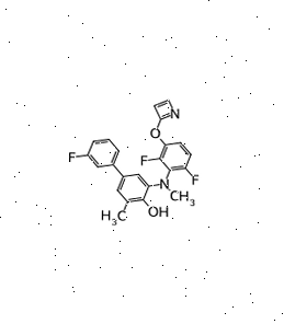 Cc1cc(-c2cccc(F)c2)cc(N(C)c2c(F)ccc(OC3=NC=C3)c2F)c1O